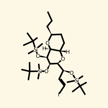 CCC[C@H]1CC[C@@H]2O[C@@H]([C@H](/C=C/I)O[Si](C)(C)C(C)(C)C)[C@@H](O[Si](C)(C)C(C)(C)C)[C@@H](O[Si](C)(C)C(C)(C)C)[C@H]2O1